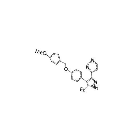 CCc1[nH]nc(-c2ccncn2)c1-c1ccc(OCc2ccc(OC)cc2)cc1